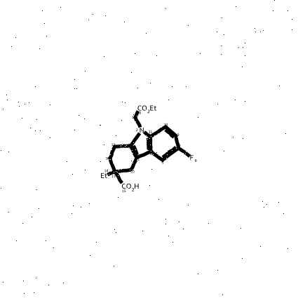 CCOC(=O)Cn1c2c(c3cc(F)ccc31)CC(CC)(C(=O)O)CC2